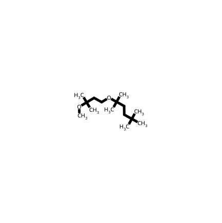 COC(C)(C)CCOC(C)(C)CCC(C)(C)C